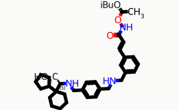 CC(C)COC(C)ONC(=O)C=Cc1cccc(CNCc2ccc(CN[C@H](C(=O)O)C3(C4CCCC4)CCCCC3)cc2)c1